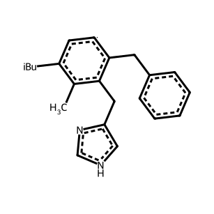 CCC(C)c1c[c]c(Cc2ccccc2)c(Cc2c[nH]cn2)c1C